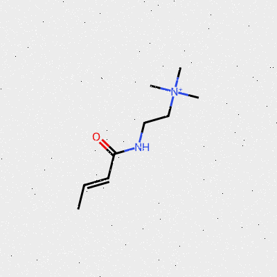 CC=CC(=O)NCC[N+](C)(C)C